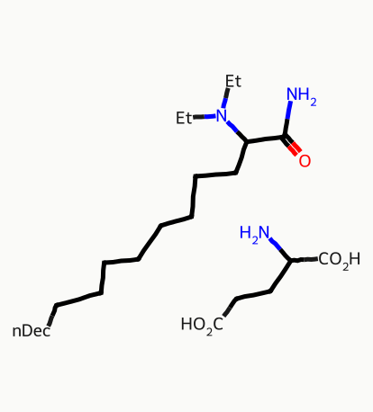 CCCCCCCCCCCCCCCCCCC(C(N)=O)N(CC)CC.NC(CCC(=O)O)C(=O)O